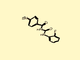 CC(C)(C)c1ccc(C(=O)NC(=O)Nc2ccccc2F)cc1